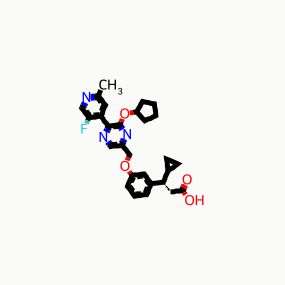 Cc1cc(-c2ncc(COc3cccc([C@@H](CC(=O)O)C4CC4)c3)nc2OC2CCCC2)c(F)cn1